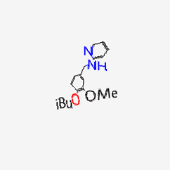 CCC(C)Oc1ccc(CNc2ccccn2)cc1OC